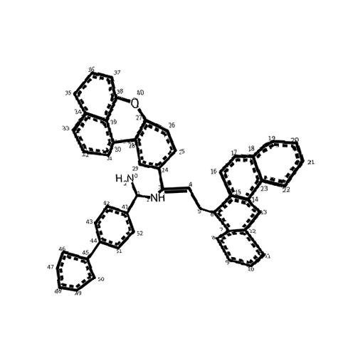 NC(N/C(=C\Cc1c2ccccc2cc2c1ccc1ccccc12)c1ccc2c(c1)-c1cccc3cccc(c13)O2)c1ccc(-c2ccccc2)cc1